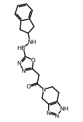 O=C(Cc1nnc(BNC2Cc3ccccc3C2)o1)N1CCc2[nH]nnc2C1